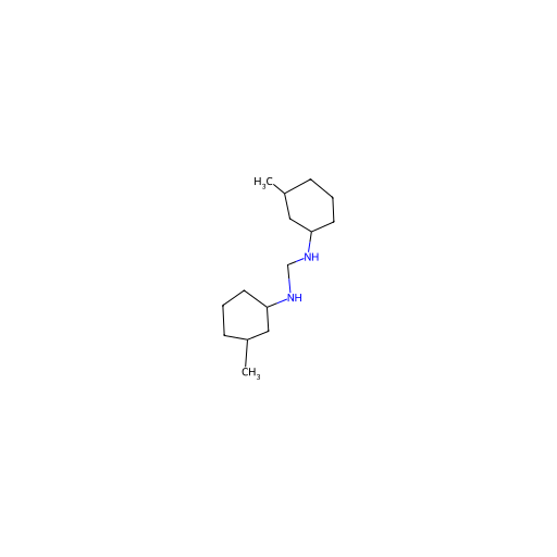 CC1CCCC(NCNC2CCCC(C)C2)C1